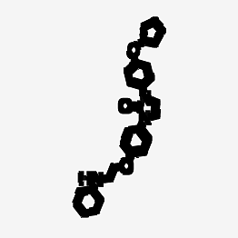 O=c1n(-c2ccc(OCCNC3CCCCC3)cc2)ccn1-c1ccc(OC2CCCC2)cc1